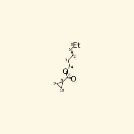 CCC=CCCOC(=O)C1CC1